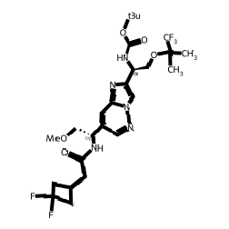 COC[C@@H](NC(=O)CC1CC(F)(F)C1)c1cnn2cc([C@H](COC(C)(C)C(F)(F)F)NC(=O)OC(C)(C)C)nc2c1